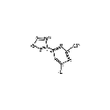 Clc1cc(Cl)cc(-c2cs[c]n2)c1